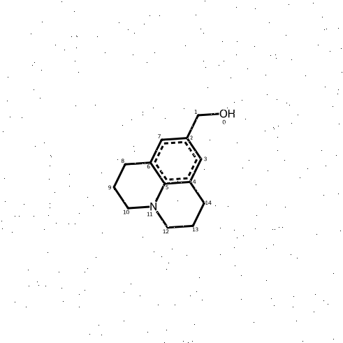 OCc1cc2c3c(c1)CCCN3CCC2